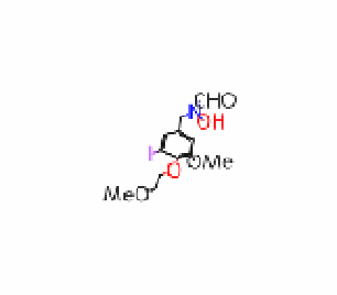 COCCOc1c(I)cc(CN(O)C=O)cc1OC